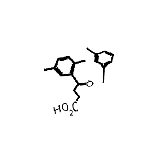 Cc1ccc(C)c(C(=O)CCC(=O)O)c1.Cc1cccc(C)c1